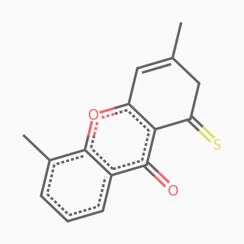 CC1=Cc2oc3c(C)cccc3c(=O)c2C(=S)C1